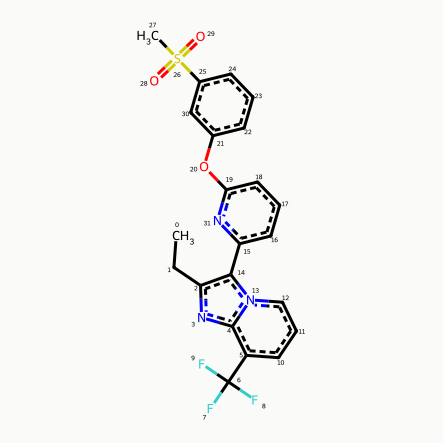 CCc1nc2c(C(F)(F)F)cccn2c1-c1cccc(Oc2cccc(S(C)(=O)=O)c2)n1